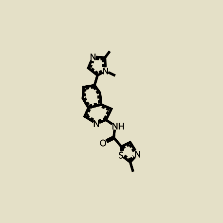 Cc1ncc(C(=O)Nc2cc3cc(-c4cnc(C)n4C)ccc3cn2)s1